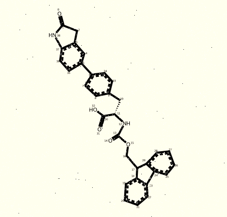 O=C1Cc2cc(-c3ccc(C[C@H](NC(=O)OCC4c5ccccc5-c5ccccc54)C(=O)O)cc3)ccc2N1